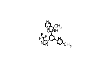 Cc1ccc(-c2cc(C(=O)NC(C)c3cnccn3)cc(-n3ncnc3C(F)(F)F)c2)nc1